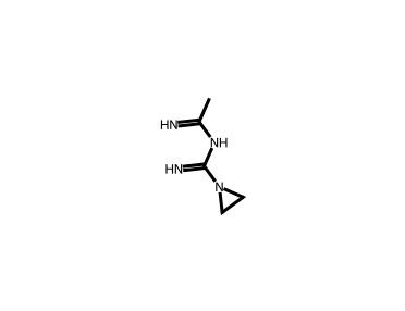 CC(=N)NC(=N)N1CC1